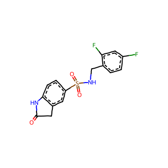 O=C1Cc2cc(S(=O)(=O)NCc3ccc(F)cc3F)ccc2N1